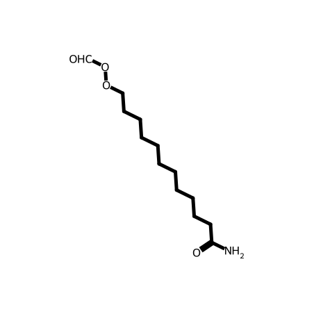 NC(=O)CCCCCCCCCCCOOC=O